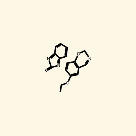 CCOc1ccc2c(c1)C=NCO2.S=C1N=c2ccccc2=N1